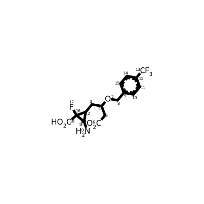 NC1C(CC(CC(=O)O)OCc2ccc(C(F)(F)F)cc2)C1(F)C(=O)O